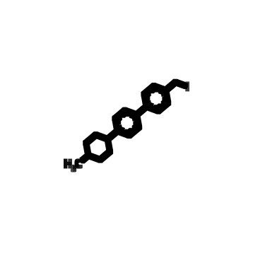 CC1CCC(c2ccc(-c3ccc(CI)cc3)cc2)CC1